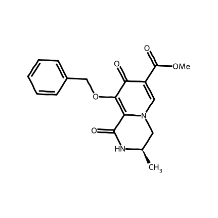 COC(=O)c1cn2c(c(OCc3ccccc3)c1=O)C(=O)N[C@H](C)C2